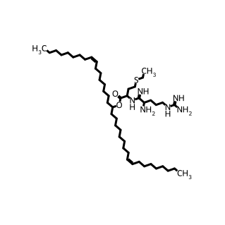 CCCCCCCC/C=C\CCCCCCCCC(CCCCCCC/C=C\CCCCCCCC)OC(=O)C(CCSCC)NC(=N)C(N)CCCNC(=N)N